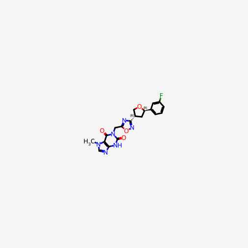 Cn1cnc2[nH]c(=O)n(Cc3nc([C@@H]4CO[C@@H](c5cccc(F)c5)C4)no3)c(=O)c21